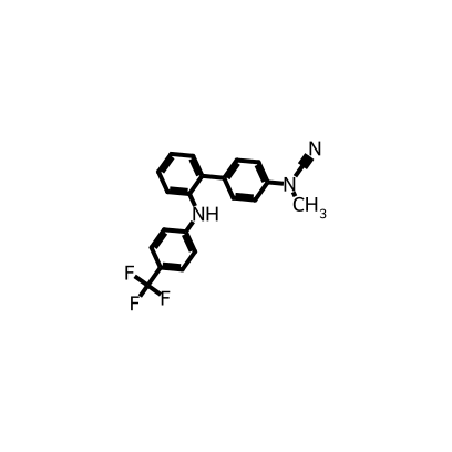 CN(C#N)c1ccc(-c2ccccc2Nc2ccc(C(F)(F)F)cc2)cc1